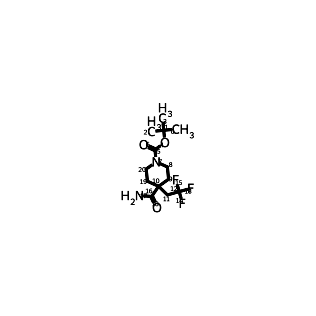 CC(C)(C)OC(=O)N1CCC(CC(F)(F)F)(C(N)=O)CC1